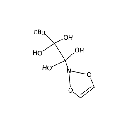 CCCCC(O)(O)C(O)(O)N1OC=CO1